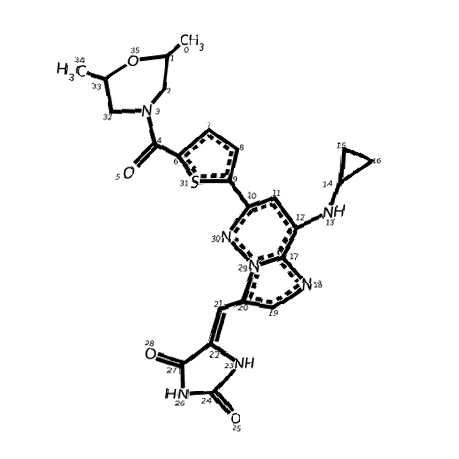 CC1CN(C(=O)c2ccc(-c3cc(NC4CC4)c4ncc(/C=C5\NC(=O)NC5=O)n4n3)s2)CC(C)O1